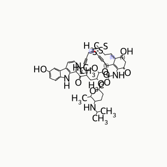 CC#C/C=C\C#C[C@H](OC1OC(C)C(C(=O)c2nccc3c2[nH]c2ccc(O)cc23)CC1OC1CCC(NC(C)C)C(C)O1)C1=C(NC(=O)OC)C(=O)C[C@H](O)/C1=C/CS(C)(=S)=S